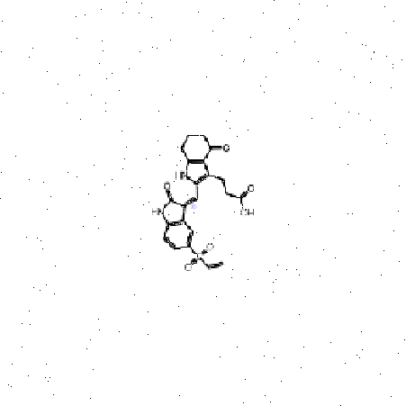 C=CS(=O)(=O)c1ccc2c(c1)/C(=C/c1[nH]c3c(c1CCC(=O)O)C(=O)CCC3)C(=O)N2